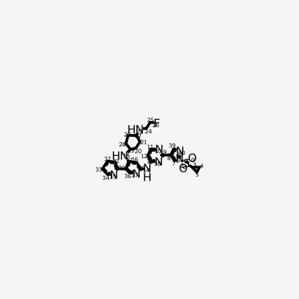 O=S(=O)(C1CC1)n1cc(-c2nccc(Nc3cc(NC4CCC(NCCF)CC4)c(-c4ccccn4)cn3)n2)cn1